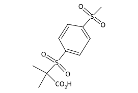 CC(C)(C(=O)O)S(=O)(=O)c1ccc(S(C)(=O)=O)cc1